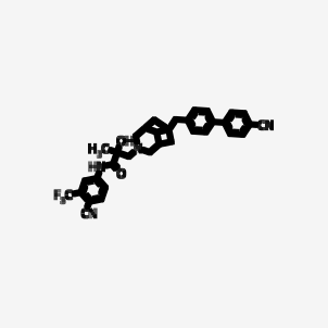 CC(O)(CN1CC2CC3(Cc4ccc(-c5ccc(C#N)cc5)cc4)CC(C1)C23)C(=O)Nc1ccc(C#N)c(C(F)(F)F)c1